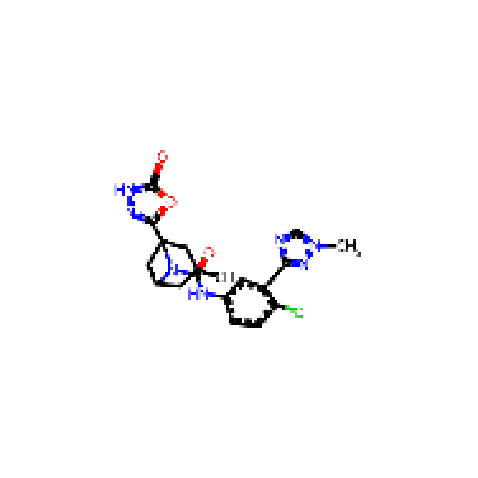 CC1CC2CC(c3n[nH]c(=O)o3)(C1)N2C(=O)Nc1ccc(Cl)c(-c2ncn(C)n2)c1